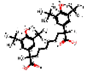 CC(C)(C)c1cc(C(C)(CCCCCCC(C)(C(=O)O)c2cc(C(C)(C)C)c(O)c(C(C)(C)C)c2)C(=O)O)cc(C(C)(C)C)c1O